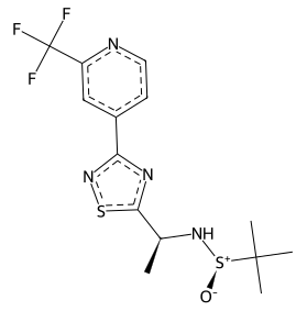 C[C@H](N[S@+]([O-])C(C)(C)C)c1nc(-c2ccnc(C(F)(F)F)c2)ns1